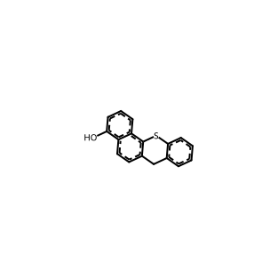 Oc1cccc2c3c(ccc12)Cc1ccccc1S3